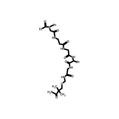 CCC(=O)N(CC(=O)NCCC(=O)NCC(=O)NC(C(=O)NCC(=O)NCOCC(C)(C)C(N)=O)C(C)C)C(C)C